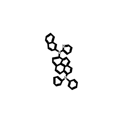 c1ccc(N(c2ccccc2)c2ccc3ccc4c(N(c5ccc6ccccc6c5)c5ccccn5)ccc5ccc2c3c54)cc1